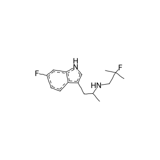 CC(Cc1c[nH]c2cc(F)ccc12)NCC(C)(C)F